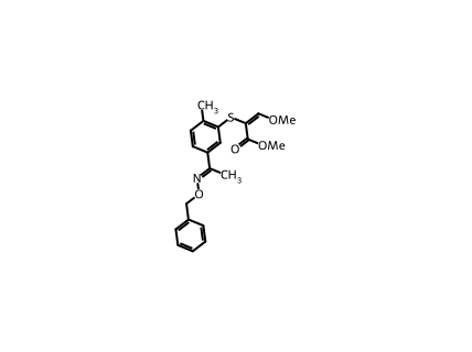 CO/C=C(/Sc1cc(/C(C)=N/OCc2ccccc2)ccc1C)C(=O)OC